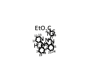 CCOC(=O)c1nc(-c2nc(N(C)c3ccccn3)c3c(-c4ccccc4)cccc3n2)cs1